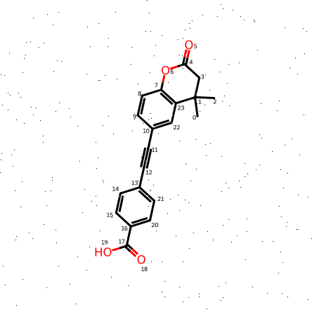 CC1(C)CC(=O)Oc2ccc(C#Cc3ccc(C(=O)O)cc3)cc21